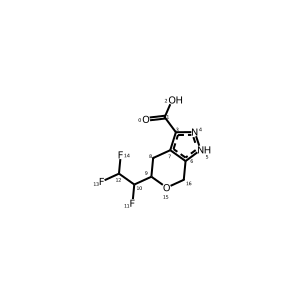 O=C(O)c1n[nH]c2c1CC(C(F)C(F)F)OC2